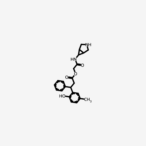 Cc1ccc(O)c(C(CC(=O)OCC(=O)NC2C3CNCC32)c2ccccc2)c1